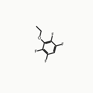 CCOc1c(F)c(F)cc(F)c1F